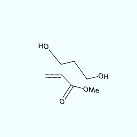 C=CC(=O)OC.OCCCO